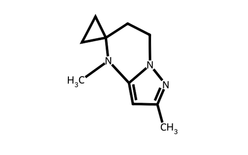 Cc1cc2n(n1)CCC1(CC1)N2C